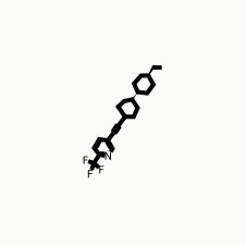 CC[C@H]1CC[C@H](C2CCC(C#Cc3ccc(C(F)(F)F)nc3)CC2)CC1